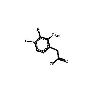 COc1c(CC(=O)Cl)ccc(F)c1F